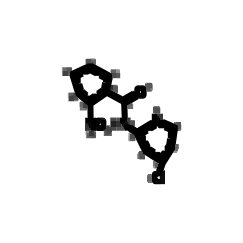 O=C(Nc1cc(Cl)ccn1)c1ccccc1[N+](=O)[O-]